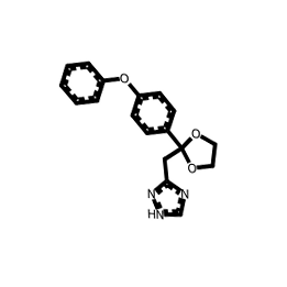 c1ccc(Oc2ccc(C3(Cc4nc[nH]n4)OCCO3)cc2)cc1